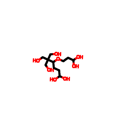 OCC(CO)(CO)C(CCC(O)O)OCCC(O)O